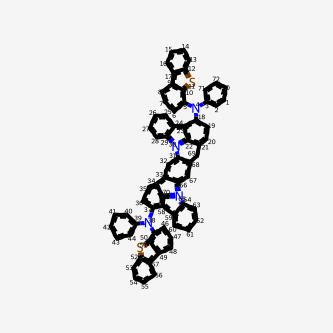 c1ccc(N(c2cccc3c2sc2ccccc23)c2ccc3c4c2c2ccccc2n4-c2cc4c5ccc(N(c6ccccc6)c6cccc7c6sc6ccccc67)c6c7ccccc7n(c4cc2C3)c56)cc1